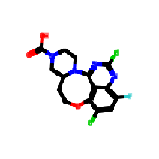 O=C(O)N1CCN2c3nc(Cl)nc4c(F)cc(Cl)c(c34)OCCC2C1